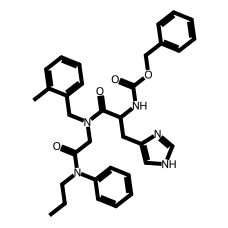 CCCN(C(=O)CN(Cc1ccccc1C)C(=O)C(Cc1c[nH]cn1)NC(=O)OCc1ccccc1)c1ccccc1